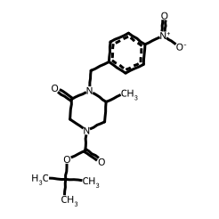 CC1CN(C(=O)OC(C)(C)C)CC(=O)N1Cc1ccc([N+](=O)[O-])cc1